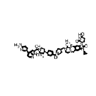 C[C@H]1CN(Cc2cc3c(cc2F)n([C@@H]2CCC(=O)NC2=O)c(=O)n3C2CC2)CCN1CC1CCN(C(=O)c2ccc(C3CCN([C@@H](C)c4cc5c(-c6ccc(N)nc6)ccnc5n4C)CC3)cc2)CC1